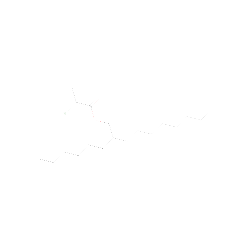 CCCCCCCCC(CCCCCC)COC(=O)C(C)Br